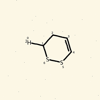 [2H]C1CC=CSS1